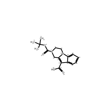 CC(C)(C)OC(=O)N1CCn2c(c(C(=O)O)c3ccccc32)C1